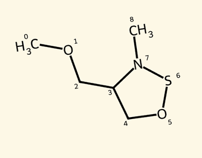 COCC1COSN1C